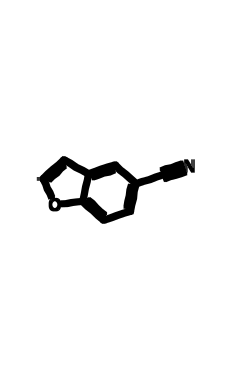 N#Cc1ccc2o[c]cc2c1